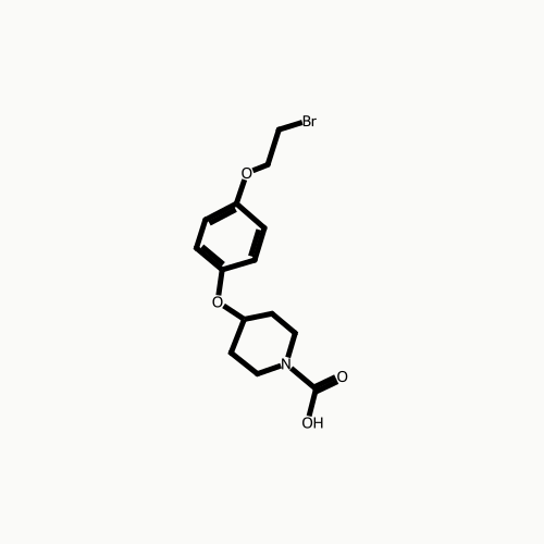 O=C(O)N1CCC(Oc2ccc(OCCBr)cc2)CC1